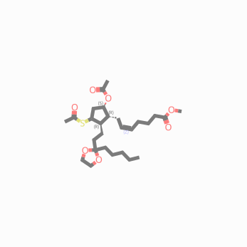 CCCCCC1(CC[C@H]2C(SC(C)=O)C[C@H](OC(C)=O)[C@@H]2C/C=C\CCCC(=O)OC)OCCO1